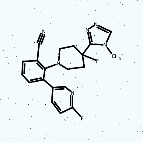 Cn1cnnc1C1(F)CCN(c2c(C#N)cccc2-c2ccc(F)nc2)CC1